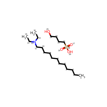 CCCCCCCCCCCCN(CC)CC.O=S(=O)(O)CCCCO